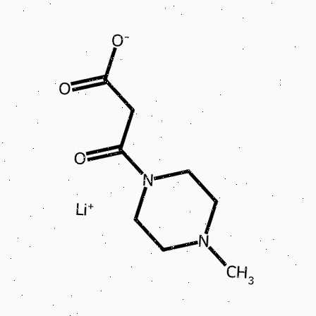 CN1CCN(C(=O)CC(=O)[O-])CC1.[Li+]